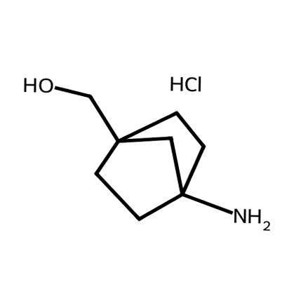 Cl.NC12CCC(CO)(CC1)C2